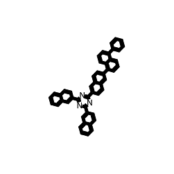 c1ccc(-c2cccc3c(-c4ccc5cc(-c6nc(-c7ccc8ccccc8c7)nc(-c7ccc8ccccc8c7)n6)ccc5c4)cccc23)cc1